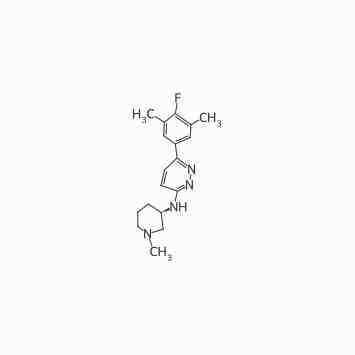 Cc1cc(-c2ccc(N[C@@H]3CCCN(C)C3)nn2)cc(C)c1F